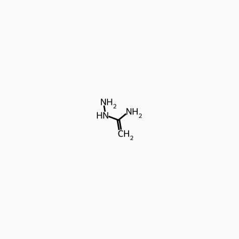 C=C(N)NN